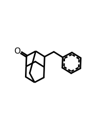 O=C1C2CC3CC(C2)C(Cc2ccccc2)C1C3